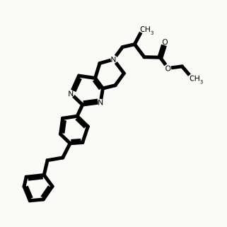 CCOC(=O)CC(C)CN1CCc2nc(-c3ccc(CCc4ccccc4)cc3)ncc2C1